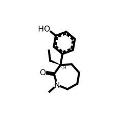 CC[C@@]1(c2cccc(O)c2)CCCCN(C)C1=O